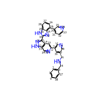 c1ccc(CNCc2cncc(-c3cc4c(-c5nc6c(-c7cccnc7)cccc6[nH]5)n[nH]c4cn3)c2)cc1